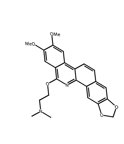 COc1cc2c(OCCN(C)C)nc3c4cc5c(cc4ccc3c2cc1OC)OCO5